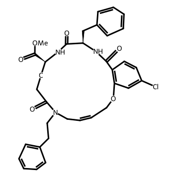 COC(=O)[C@@H]1CCC(=O)N(CCc2ccccc2)C/C=C\COc2cc(Cl)ccc2C(=O)N[C@H](Cc2ccccc2)C(=O)N1